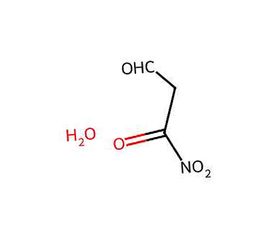 O.O=CCC(=O)[N+](=O)[O-]